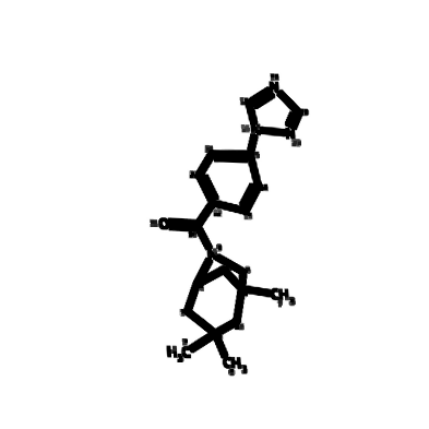 CC1(C)CC2CC(C)(CN2C(=O)c2ccc(-n3cncn3)cc2)C1